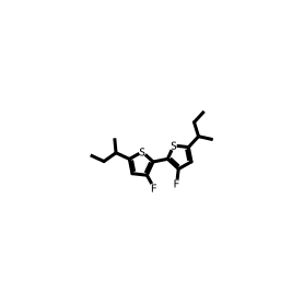 CCC(C)c1cc(F)c(-c2sc(C(C)CC)cc2F)s1